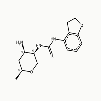 C[C@H]1C[C@@H](N)[C@@H](NC(=S)Nc2cccc3c2CCO3)CO1